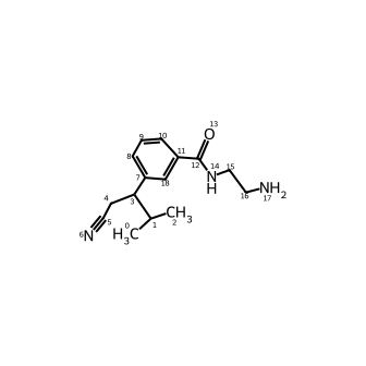 CC(C)C(CC#N)c1cccc(C(=O)NCCN)c1